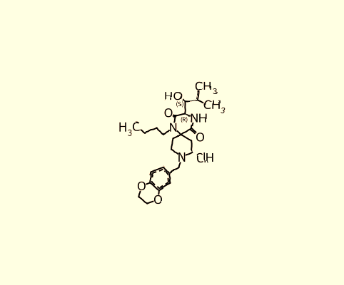 CCCCN1C(=O)[C@@H]([C@@H](O)C(C)C)NC(=O)C12CCN(Cc1ccc3c(c1)OCCO3)CC2.Cl